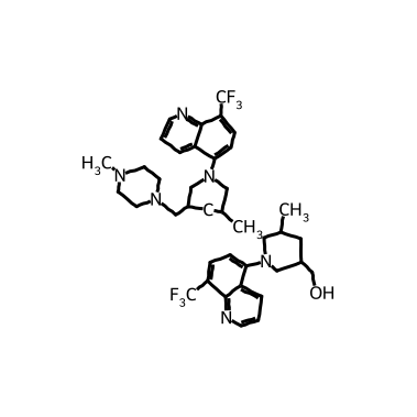 CC1CC(CN2CCN(C)CC2)CN(c2ccc(C(F)(F)F)c3ncccc23)C1.CC1CC(CO)CN(c2ccc(C(F)(F)F)c3ncccc23)C1